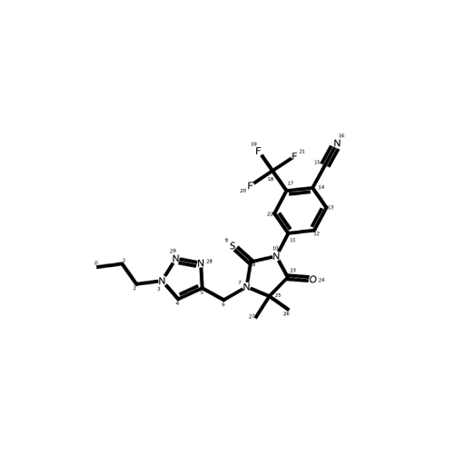 CCCn1cc(CN2C(=S)N(c3ccc(C#N)c(C(F)(F)F)c3)C(=O)C2(C)C)nn1